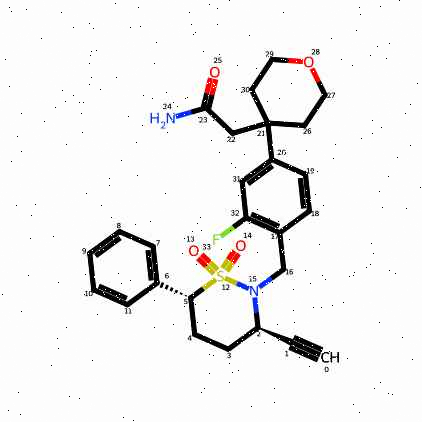 C#C[C@H]1CC[C@H](c2ccccc2)S(=O)(=O)N1Cc1ccc(C2(CC(N)=O)CCOCC2)cc1F